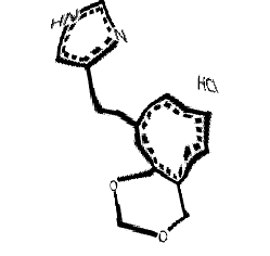 Cl.c1cc2c(c(Cc3c[nH]cn3)c1)OCOC2